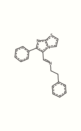 C(=N\CCc1ccccc1)/c1c(-c2ccccc2)nc2sccn12